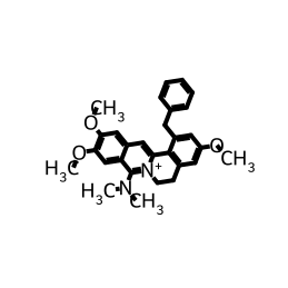 COc1cc2c(c(Cc3ccccc3)c1)-c1cc3cc(OC)c(OC)cc3c(N(C)C)[n+]1CC2